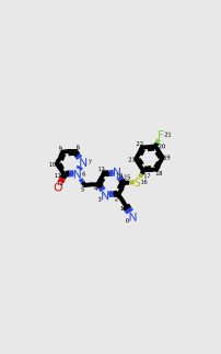 N#Cc1nc(Cn2ncccc2=O)cnc1Sc1ccc(F)cc1